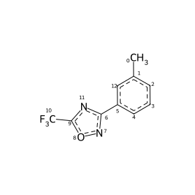 Cc1cccc(-c2noc(C(F)(F)F)n2)c1